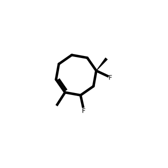 C/C1=C/CCC[C@](C)(F)CC1F